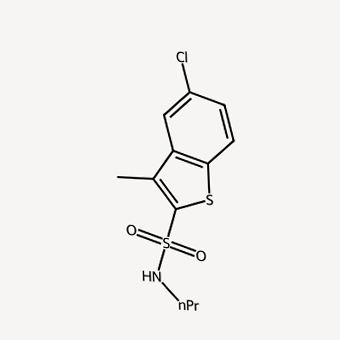 CCCNS(=O)(=O)c1sc2ccc(Cl)cc2c1C